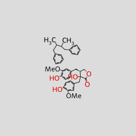 CC(Cc1ccccc1)C(C)Cc1ccccc1.COc1cc(C[C@H]2COC(=O)[C@]2(O)Cc2ccc(O)c(OC)c2)ccc1O